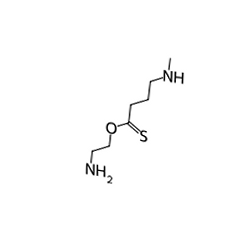 CNCCCC(=S)OCCN